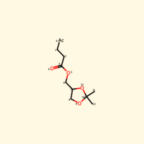 CC(=O)CCC(=O)OCC1COC(C)(C)O1